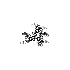 CCCCC(=O)Oc1cc(OC(=O)CCCC)c2c(c1)O[C@H](c1cc(OC(=O)CCCC)c(OC(=O)CCCC)c(OC(=O)CCCC)c1)[C@H](OC(=O)c1cc(OC(=O)CCCC)c(OC(=O)CCCC)c(OC(=O)CCCC)c1)C2